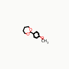 COc1ccc(C2OCCCCO2)cc1